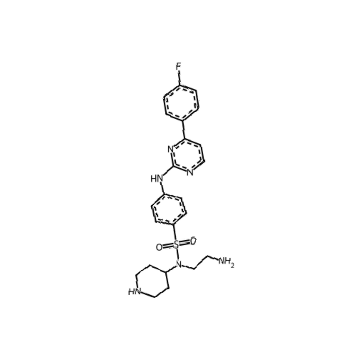 NCCN(C1CCNCC1)S(=O)(=O)c1ccc(Nc2nccc(-c3ccc(F)cc3)n2)cc1